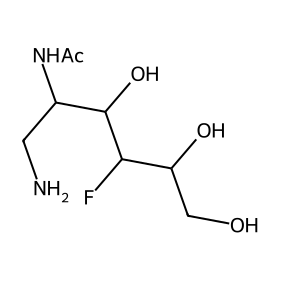 CC(=O)NC(CN)C(O)C(F)C(O)CO